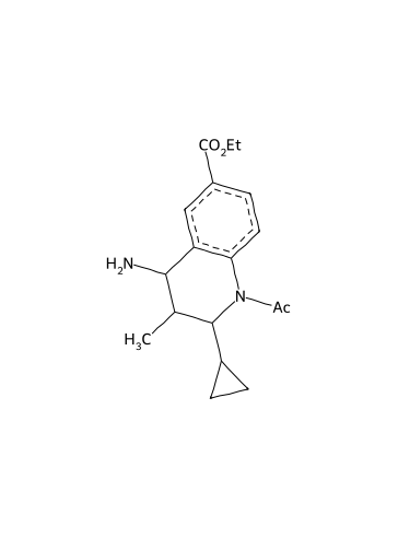 CCOC(=O)c1ccc2c(c1)C(N)C(C)C(C1CC1)N2C(C)=O